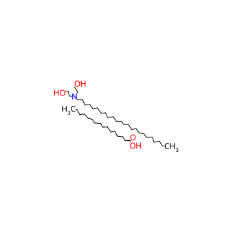 CCCCCCCCCCCCCCCC(=O)O.CCCCCCCCCCCCCCCCCCCCCCCCN(CCO)CCO